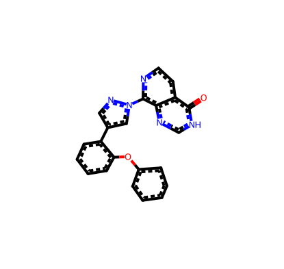 O=c1[nH]cnc2c(-n3cc(-c4ccccc4Oc4ccccc4)cn3)nccc12